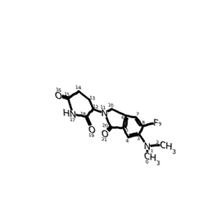 CN(C)c1cc2c(cc1F)CN(C1CCC(=O)NC1=O)C2=O